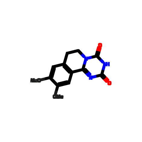 COc1cc2c(cc1OC)-c1nc(=O)[nH]c(=O)n1CC2